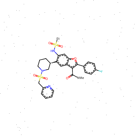 CCS(=O)(=O)Nc1cc2oc(-c3ccc(F)cc3)c(C(=O)NC)c2cc1[C@@H]1CCCN(S(=O)(=O)Cc2ccccn2)C1